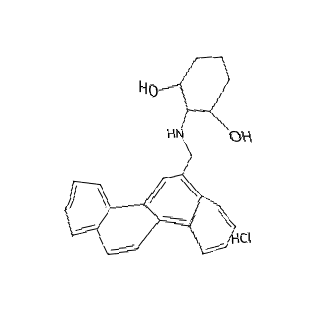 Cl.OC1CCCC(O)C1NCc1cc2c3ccccc3ccc2c2ccccc12